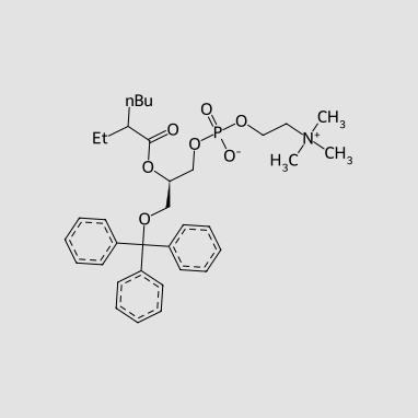 CCCCC(CC)C(=O)O[C@H](COC(c1ccccc1)(c1ccccc1)c1ccccc1)COP(=O)([O-])OCC[N+](C)(C)C